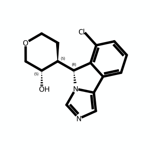 O[C@@H]1COCC[C@H]1[C@@H]1c2c(Cl)cccc2-c2cncn21